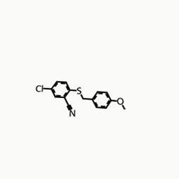 COc1ccc(CSc2ccc(Cl)cc2C#N)cc1